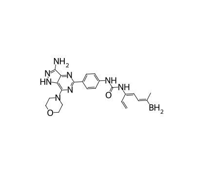 B/C(C)=C/C=C(\C=C)NC(=O)Nc1ccc(-c2nc(N3CCOCC3)c3[nH]nc(N)c3n2)cc1